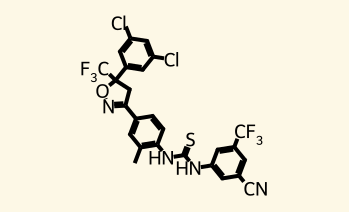 Cc1cc(C2=NOC(c3cc(Cl)cc(Cl)c3)(C(F)(F)F)C2)ccc1NC(=S)Nc1cc(C#N)cc(C(F)(F)F)c1